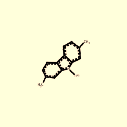 CCCn1c2cc(C)ccc2c2ccc(C)cc21